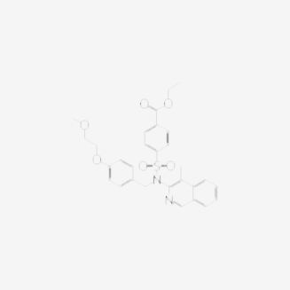 CCOC(=O)c1ccc(S(=O)(=O)N(Cc2ccc(OCCOC)cc2)c2ncc3ccccc3c2C)cc1